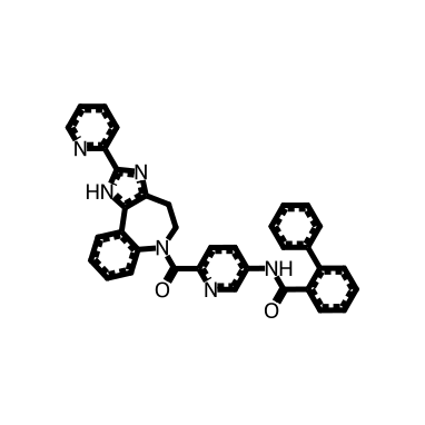 O=C(Nc1ccc(C(=O)N2CCc3nc(-c4ccccn4)[nH]c3-c3ccccc32)nc1)c1ccccc1-c1ccccc1